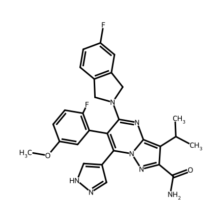 COc1ccc(F)c(-c2c(N3Cc4ccc(F)cc4C3)nc3c(C(C)C)c(C(N)=O)nn3c2-c2cn[nH]c2)c1